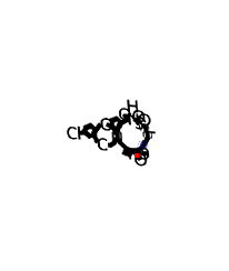 CO[C@]1(C=O)/C=C/C[C@H](C)[C@@H](C)S(=O)(=O)NC(=O)c2ccc3c(c2)N(CCCCc2cc(Cl)ccc2CO3)CC2CC[C@H]21